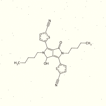 CCCCCN1C(=O)C2=C(c3ccc(C#N)s3)N(CCCCC)C(O)C2=C1c1ccc(C#N)s1